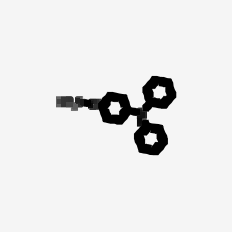 CS(=O)(=O)O.c1ccc([SiH](c2ccccc2)c2ccccc2)cc1